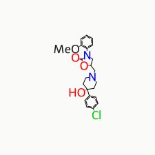 COc1ccccc1N1CC(CN2CCC(O)(c3ccc(Cl)cc3)CC2)OC1=O